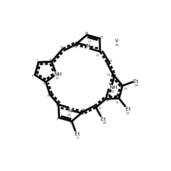 CCC1=Cc2cc3ccc(cc4nc(cc5[nH]c(c(CC)c1n2)c(CC)c5CC)C=C4)[nH]3.[V]